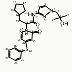 CC(C)(O)Cn1ccc(NC(=O)C(CC2CCCC2)n2ncc(Sc3ccccc3)cc2=O)n1